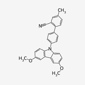 COc1ccc2c(c1)c1cc(OC)ccc1n2-c1ccc(-c2ccc(C)cc2C#N)cc1